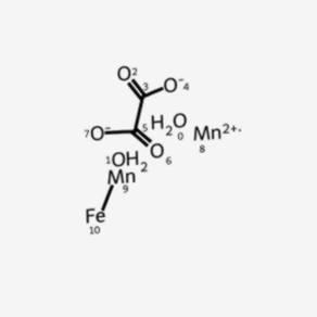 O.O.O=C([O-])C(=O)[O-].[Mn+2].[Mn][Fe]